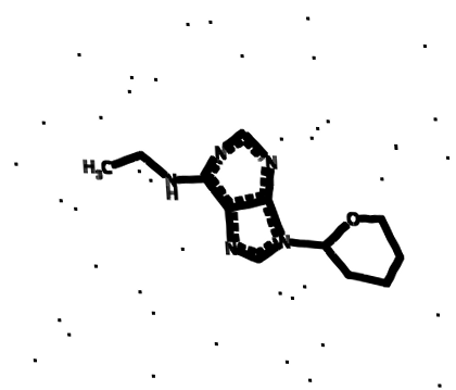 CCNc1ncnc2c1ncn2C1CCCCO1